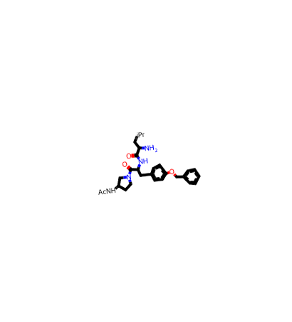 CC(=O)NC1CCN(C(=O)C(Cc2ccc(OCc3ccccc3)cc2)NC(=O)C(N)CC(C)C)C1